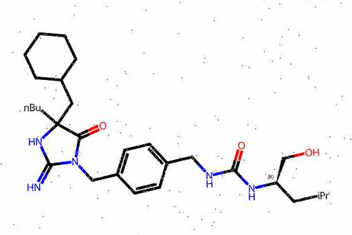 CCCCC1(CC2CCCCC2)NC(=N)N(Cc2ccc(CNC(=O)N[C@@H](CO)CC(C)C)cc2)C1=O